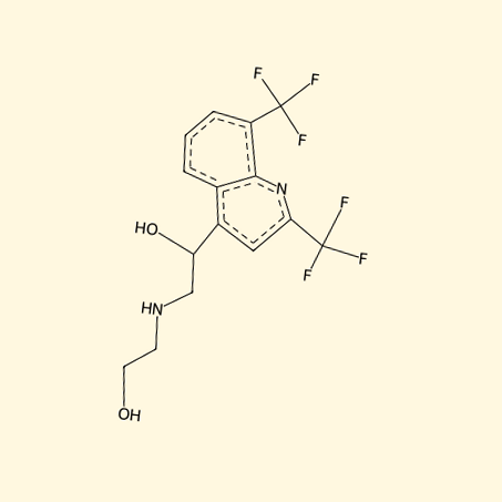 OCCNCC(O)c1cc(C(F)(F)F)nc2c(C(F)(F)F)cccc12